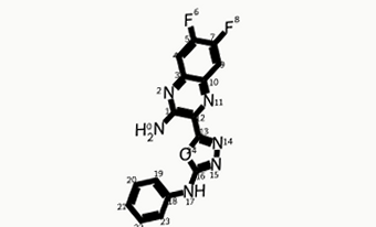 Nc1nc2cc(F)c(F)cc2nc1-c1nnc(Nc2ccccc2)o1